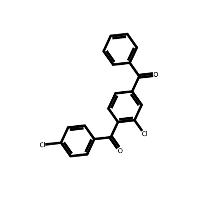 O=C(c1ccccc1)c1ccc(C(=O)c2ccc(Cl)cc2)c(Cl)c1